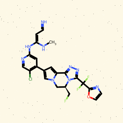 CN/C(=C\C=N)Nc1cc(-c2cc3n(c2)C[C@H](CF)n2c-3nnc2C(F)(F)c2ncco2)c(Cl)cn1